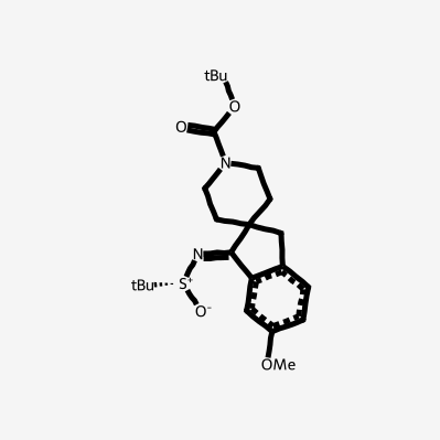 COc1ccc2c(c1)/C(=N\[S@+]([O-])C(C)(C)C)C1(CCN(C(=O)OC(C)(C)C)CC1)C2